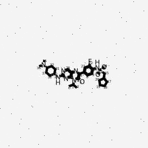 CC(C)n1c(=O)c(-c2ccc(NS(=O)(=O)CC3CCCC3)c(F)c2)nc2cnc(N[C@H]3CC[C@H](N(C)C)CC3)nc21